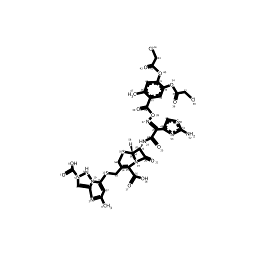 CC1=NC2=CN(C(=O)O)NN2C(SCC2=C(C(=O)O)N3C(=O)[C@@H](NC(=O)C(=NOC(=O)c4cc(OC(=O)CCl)c(OC(=O)CCl)cc4C)c4csc(N)n4)[C@H]3SC2)=C1